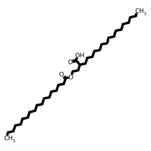 CCCCCCCCCCCCCCCCCC(=O)OCCC(CCCCCCCCCCCCCCCC)C(=O)O